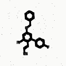 CC(C)c1cc(OCc2ccccc2)cc(-c2ccc(F)cc2)c1/C=C/C#N